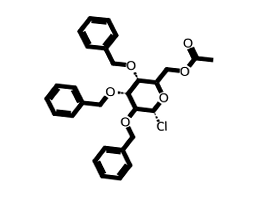 CC(=O)OCC1O[C@H](Cl)C(OCc2ccccc2)[C@H](OCc2ccccc2)[C@@H]1OCc1ccccc1